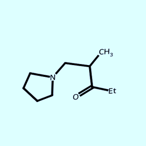 CCC(=O)C(C)CN1CCCC1